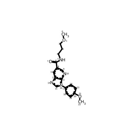 COCCCNC(=O)c1cnc2c(c1)ncn2-c1ccc(OC)cc1